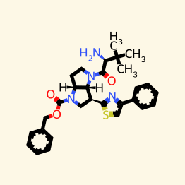 CC(C)(C)[C@H](N)C(=O)N1CC[C@@H]2[C@H]1[C@@H](c1nc(-c3ccccc3)cs1)CN2C(=O)OCc1ccccc1